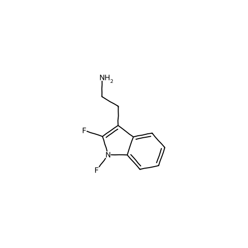 NCCc1c(F)n(F)c2ccccc12